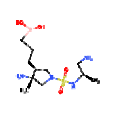 C[C@H](CN)NS(=O)(=O)N1C[C@H](CCCB(O)O)[C@@](C)(N)C1